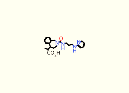 CC(C(=O)O)C1CCN(C(=O)NCCCNc2ccccn2)Cc2ccccc21